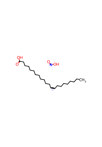 CCCCCCCC/C=C\CCCCCCCCCCCC(=O)O.O=NO